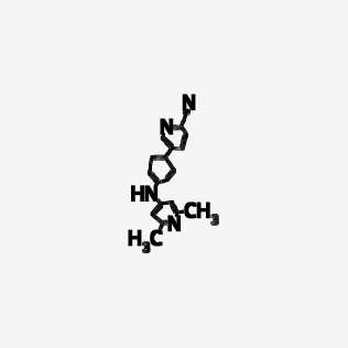 Cc1cc(Nc2ccc(-c3ccc(C#N)nc3)cc2)cc(C)n1